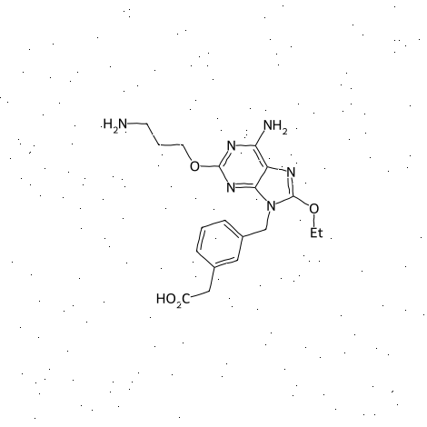 CCOc1nc2c(N)nc(OCCCN)nc2n1Cc1cccc(CC(=O)O)c1